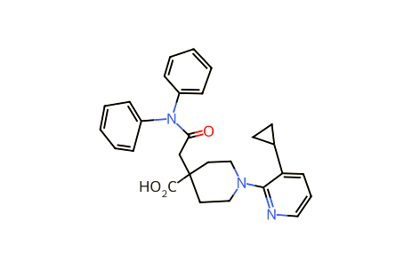 O=C(CC1(C(=O)O)CCN(c2ncccc2C2CC2)CC1)N(c1ccccc1)c1ccccc1